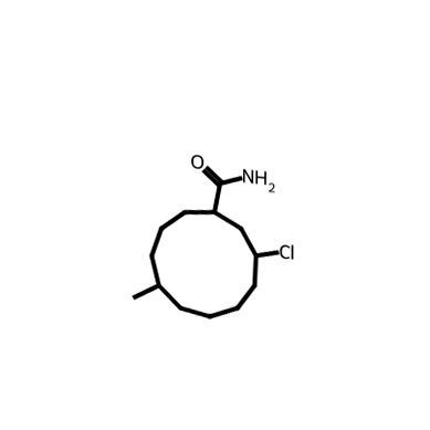 CC1CCCCC(Cl)CC(C(N)=O)CCC1